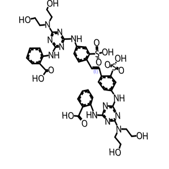 O=C(O)c1ccccc1Nc1nc(Nc2ccc(/C=C/c3ccc(Nc4nc(Nc5ccccc5C(=O)O)nc(N(CCO)CCO)n4)cc3S(=O)(=O)O)c(S(=O)(=O)O)c2)nc(N(CCO)CCO)n1